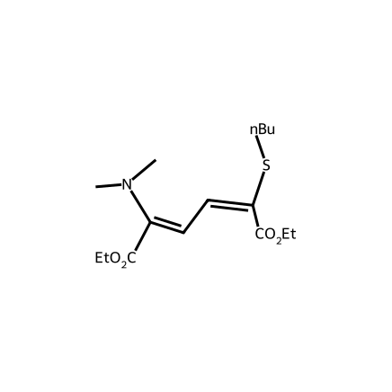 CCCCSC(=CC=C(C(=O)OCC)N(C)C)C(=O)OCC